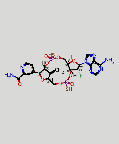 C=C1[C@H]2OP(=O)(S)OC[C@H]3O[C@@H](n4cnc5c(N)ncnc54)[C@H](F)[C@@H]3OP(=O)(S)OC[C@H]1O[C@H]2c1ccnc(C(N)=O)c1